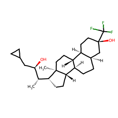 C[C@H]([C@H](O)CC1CC1)[C@H]1CC[C@H]2[C@@H]3CC[C@@H]4C[C@@](O)(C(F)(F)F)CC[C@@H]4[C@H]3CC[C@]12C